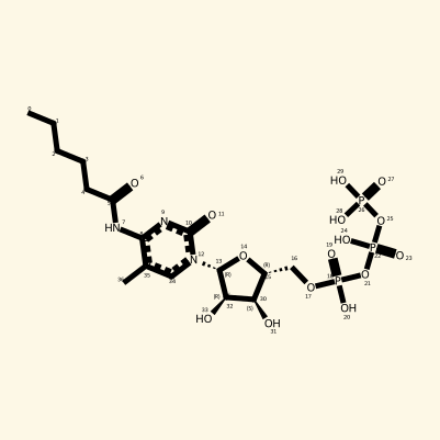 CCCCCC(=O)Nc1nc(=O)n([C@@H]2O[C@H](COP(=O)(O)OP(=O)(O)OP(=O)(O)O)[C@@H](O)[C@H]2O)cc1C